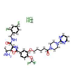 C[C@H](N)c1oc(-c2ccc(OC(F)F)c(OCCCCC(=O)N3CCN(c4ncccn4)CC3)c2)nc1C(=O)NCc1ccc(F)cc1F.Cl.Cl